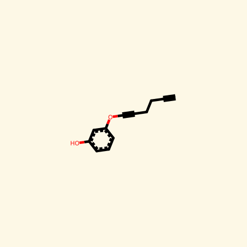 C#CCCC#COc1cccc(O)c1